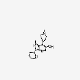 Cc1nn(C2CCCCO2)c2ncc(O)c(C3CCN(C)CC3)c12